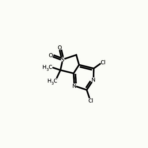 CC1(C)c2nc(Cl)nc(Cl)c2CS1(=O)=O